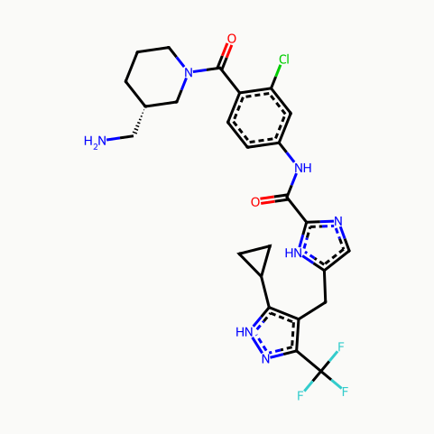 NC[C@@H]1CCCN(C(=O)c2ccc(NC(=O)c3ncc(Cc4c(C(F)(F)F)n[nH]c4C4CC4)[nH]3)cc2Cl)C1